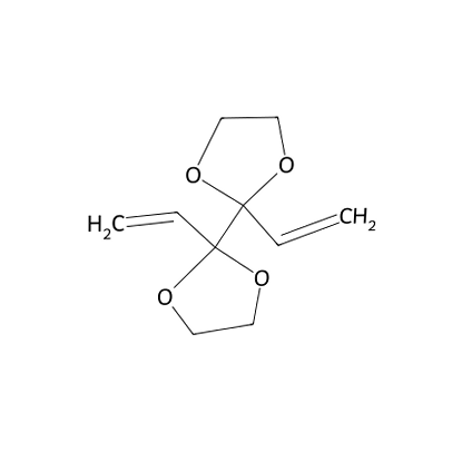 C=CC1(C2(C=C)OCCO2)OCCO1